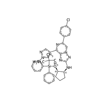 Cn1cc(-c2nc(-c3ccc(Cl)cc3)cn3nc(N[C@H]4CCC[C@H]4O[Si](c4ccccc4)(c4ccccc4)C(C)(C)C)nc23)cn1